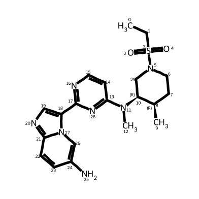 CCS(=O)(=O)N1CC[C@@H](C)[C@@H](N(C)c2ccnc(-c3cnc4ccc(N)cn34)n2)C1